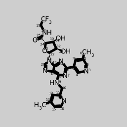 Cc1cncc(-c2nc(NCc3cc(C)ccn3)c3ncn([C@@H]4O[C@H](C(=O)NCC(F)(F)F)[C@@H](O)[C@H]4O)c3n2)c1